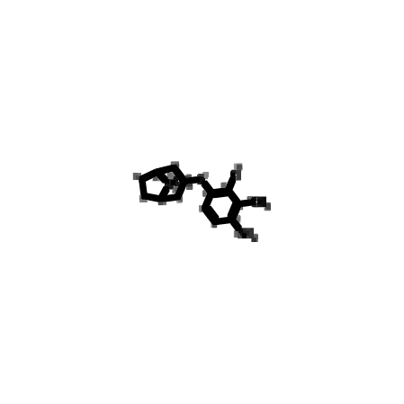 Cc1c(N)ccc(SC2CC3CCC(C2)N3C)c1Cl